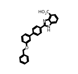 O=C(O)c1cccc2[nH]c(-c3ccc(-c4cccc(OCc5ccccc5)c4)cc3)nc12